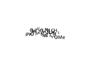 COc1ccc(-n2nnc3c(OC4CCN(C(=O)OC(C)C)CC4)ncnc32)c(C)n1